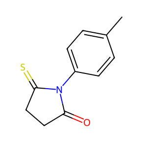 Cc1ccc(N2C(=O)CCC2=S)cc1